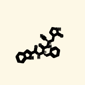 N#C[C@H](CC1CCNC1=O)NC(=O)[C@H](Cc1ccccc1)NC(=O)c1cc2ccccc2[nH]1